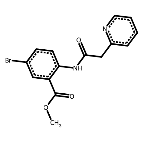 COC(=O)c1cc(Br)ccc1NC(=O)Cc1ccccn1